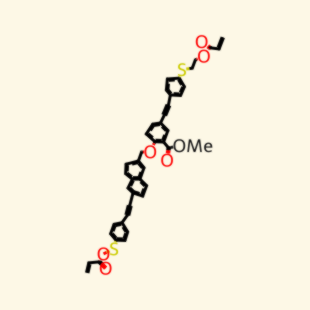 C=CC(=O)OCCSc1ccc(C#Cc2ccc(OCc3ccc4cc(C#Cc5ccc(SOC(=O)C=C)cc5)ccc4c3)c(C(=O)OC)c2)cc1